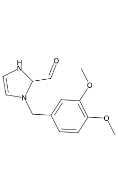 COc1ccc(CN2C=CNC2C=O)cc1OC